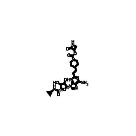 Nc1nc(CCC2CCN(C(=O)OC3CNC3=O)CC2)nc2c1ncn2[C@@H]1O[C@H](C(=O)NC2CC2)C(O)C1O